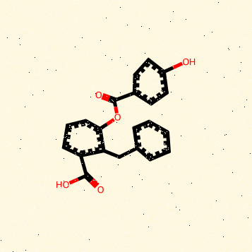 O=C(Oc1cccc(C(=O)O)c1Cc1ccccc1)c1ccc(O)cc1